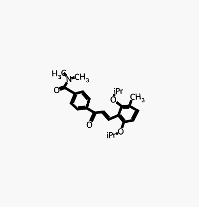 Cc1ccc(OC(C)C)c(C=CC(=O)c2ccc(C(=O)N(C)C)cc2)c1OC(C)C